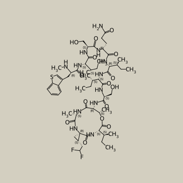 CC[C@H](C)[C@H](NC(=O)[C@@H](Cc1csc2ccccc12)NC)C(=O)N[C@@H](CO)C(=O)N[C@H](CCC(N)=O)C(=O)N[C@@H](C(=O)N[C@H](C(=O)N[C@@H](CO)C(=O)N[C@H]1C(=O)N[C@@H](C)C(=O)N[C@@]2(C[C@H]2CC(F)F)C(=O)N[C@@H]([C@@H](C)CC)C(=O)O[C@H]1C)[C@@H](C)CC)[C@@H](C)CC